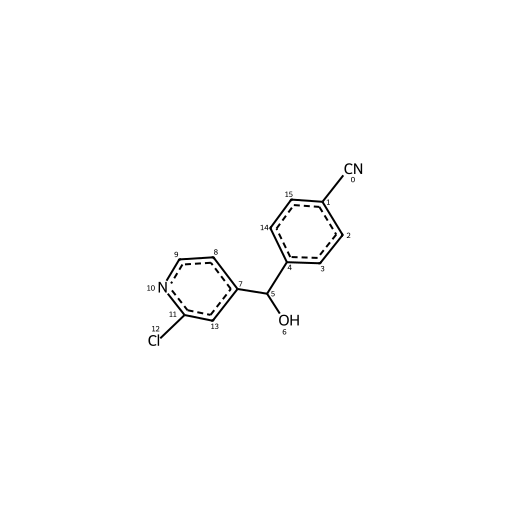 N#Cc1ccc(C(O)c2ccnc(Cl)c2)cc1